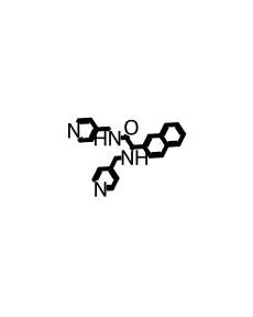 O=C(NCc1ccncc1)C(NCc1ccncc1)c1ccc2ccccc2c1